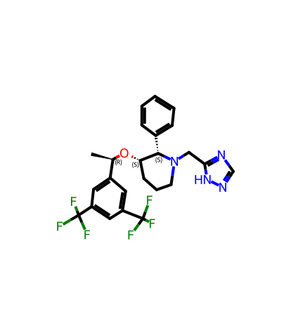 C[C@@H](O[C@H]1CCCN(Cc2ncn[nH]2)[C@H]1c1ccccc1)c1cc(C(F)(F)F)cc(C(F)(F)F)c1